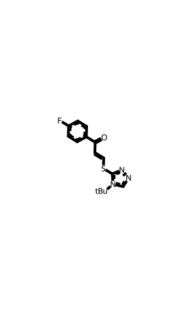 CC(C)(C)n1cnnc1S/C=C/C(=O)c1ccc(F)cc1